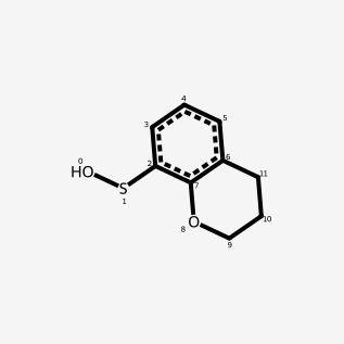 OSc1cccc2c1OCCC2